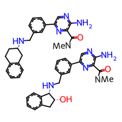 CNC(=O)c1nc(-c2cccc(CN[C@H]3CCc4ccccc4C3)c2)cnc1N.CNC(=O)c1nc(-c2cccc(CN[C@H]3c4ccccc4C[C@H]3O)c2)cnc1N